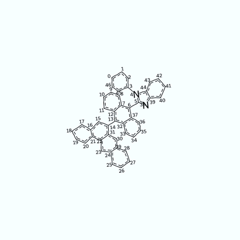 c1ccc(-n2c(-c3c4ccccc4c(-c4cc5ccccc5c5cc6ccccc6cc45)c4ccccc34)nc3ccccc32)cc1